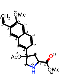 C=Cc1cc2cc(C3(OC(C)=O)CNC(C(=O)OC)C3)ccc2cc1OC